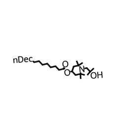 CCCCCCCCCCCCCCCCCC(=O)OC1CC(C)(C)N(CC(C)(C)O)C(C)(C)C1